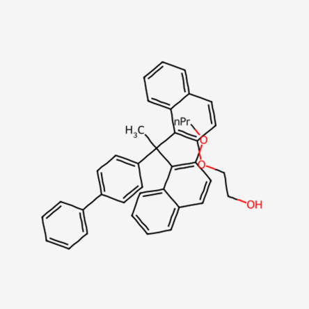 CCCOc1ccc2ccccc2c1C(C)(c1ccc(-c2ccccc2)cc1)c1c(OCCO)ccc2ccccc12